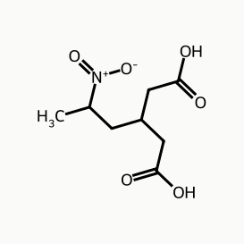 CC(CC(CC(=O)O)CC(=O)O)[N+](=O)[O-]